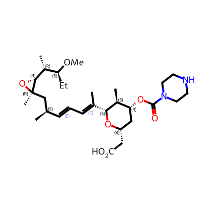 CC[C@H](OC)[C@@H](C)[C@H]1O[C@]1(C)C[C@H](C)/C=C/C=C(\C)[C@H]1O[C@@H](CC(=O)O)C[C@@H](OC(=O)N2CCNCC2)[C@@H]1C